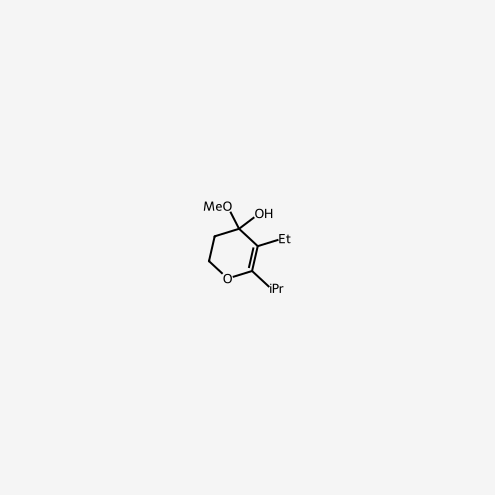 CCC1=C(C(C)C)OCCC1(O)OC